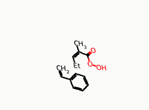 C=Cc1ccccc1.CCC=C(C)C(=O)OO